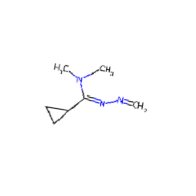 C=N/N=C(/C1CC1)N(C)C